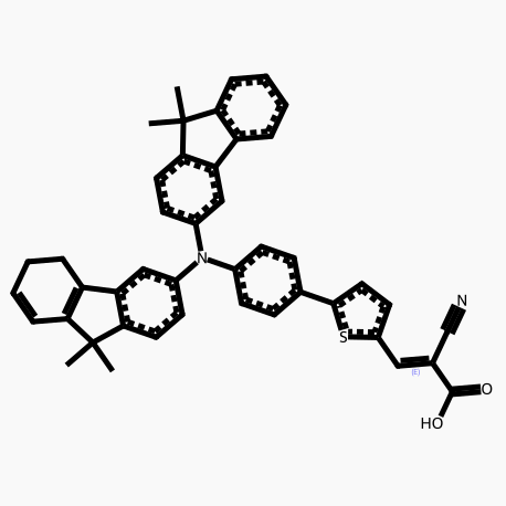 CC1(C)C2=C(CCC=C2)c2cc(N(c3ccc(-c4ccc(/C=C(\C#N)C(=O)O)s4)cc3)c3ccc4c(c3)-c3ccccc3C4(C)C)ccc21